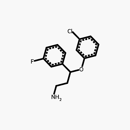 NCCC(Oc1cccc(Cl)c1)c1cccc(F)c1